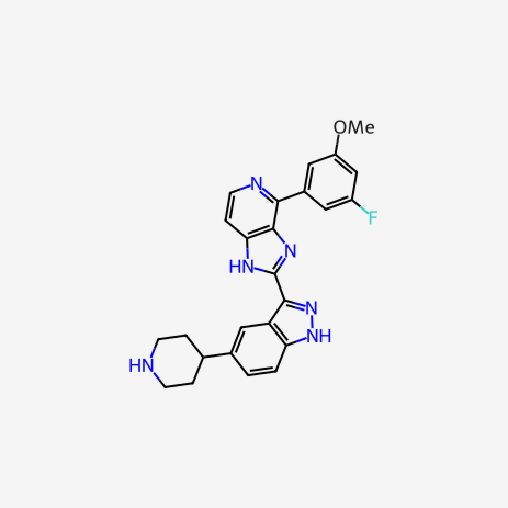 COc1cc(F)cc(-c2nccc3[nH]c(-c4n[nH]c5ccc(C6CCNCC6)cc45)nc23)c1